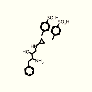 Cc1ccc(S(=O)(=O)O)cc1.Cc1ccc(S(=O)(=O)O)cc1.NC(Cc1ccccc1)C(O)CNC1CC1